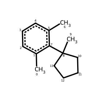 Cc1cccc(C)c1C1(C)C[CH]CC1